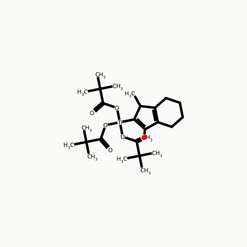 CC1=[C]([Ti]([O]C(=O)C(C)(C)C)([O]C(=O)C(C)(C)C)[O]C(=O)C(C)(C)C)C(C)C2=C1CCCC2